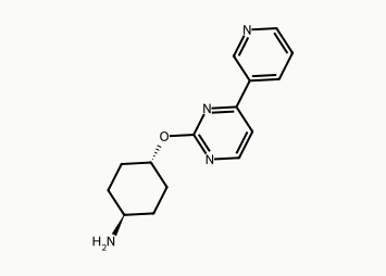 N[C@H]1CC[C@H](Oc2nccc(-c3cccnc3)n2)CC1